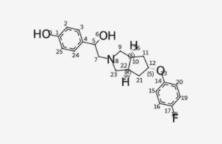 Oc1ccc(C(O)CN2C[C@H]3C[C@H](Oc4ccc(F)cc4)C[C@H]3C2)cc1